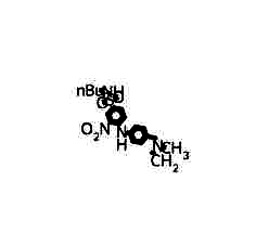 C=CN(C)Cc1ccc(Nc2ccc(S(=O)(=O)NCCCC)cc2[N+](=O)[O-])cc1